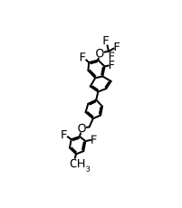 Cc1cc(F)c(OCc2ccc(-c3ccc4c(F)c(OC(F)(F)F)c(F)cc4c3)cc2)c(F)c1